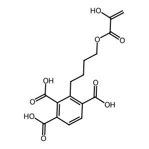 C=C(O)C(=O)OCCCCc1c(C(=O)O)ccc(C(=O)O)c1C(=O)O